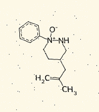 C=C(C)CC1CC[N+]([O-])(c2ccccc2)NC1